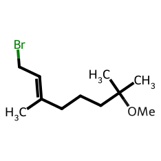 COC(C)(C)CCCC(C)=CCBr